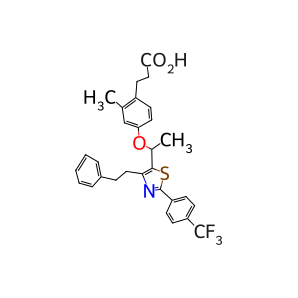 Cc1cc(OC(C)c2sc(-c3ccc(C(F)(F)F)cc3)nc2CCc2ccccc2)ccc1CCC(=O)O